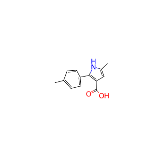 Cc1ccc(-c2[nH]c(C)cc2C(=O)O)cc1